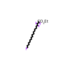 CCOC(=O)C(I)C(I)C(I)CCCCCCCCCCCCCCCCI